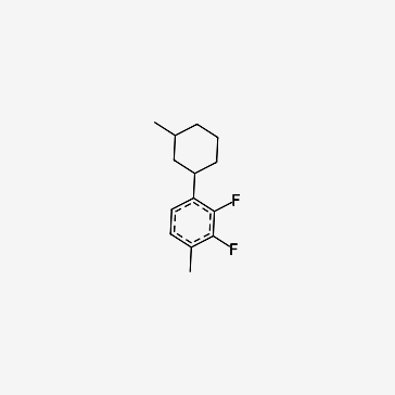 Cc1ccc(C2CCCC(C)C2)c(F)c1F